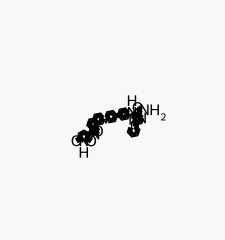 NC(=O)c1ncc(N2CCCCC2)nc1Nc1ccc(C2CCC(N3CCc4ccc5c(C6CCC(=O)NC6=O)noc5c4C3)CC2)cc1